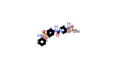 CC(C)(C)S(=O)(=O)NC1CCN(C(=O)Nc2ccc(S(=O)(=O)NC3CCCCC3)cc2)CC1